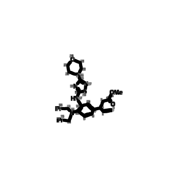 C=CC(CC(=O)OC)c1ccc(N(CC(C)C)CC(C)C)c(Nc2nc(N3CCOCC3)ns2)c1